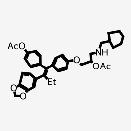 CCC(=C(c1ccc(OCC(CNCC2CCCCC2)OC(C)=O)cc1)c1ccc(OC(C)=O)cc1)c1ccc2c(c1)OCO2